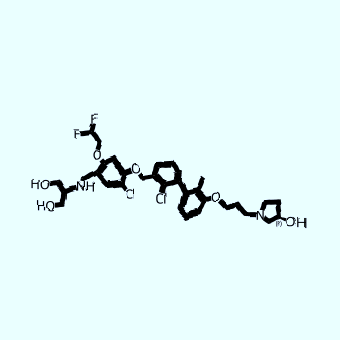 Cc1c(OCCCN2CC[C@@H](O)C2)cccc1-c1cccc(COc2cc(OCC(F)F)c(CNC(CO)CO)cc2Cl)c1Cl